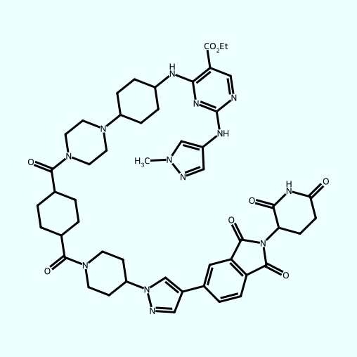 CCOC(=O)c1cnc(Nc2cnn(C)c2)nc1NC1CCC(N2CCN(C(=O)C3CCC(C(=O)N4CCC(n5cc(-c6ccc7c(c6)C(=O)N(C6CCC(=O)NC6=O)C7=O)cn5)CC4)CC3)CC2)CC1